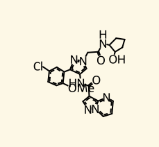 COc1ccc(Cl)cc1-c1nn(CC(=O)NC2CCCC2O)cc1NC(=O)c1cnn2cccnc12